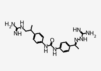 CC(=NNC(=N)N)c1ccc(NC(=O)Nc2ccc(C(C)CNC(=N)N)cc2)cc1